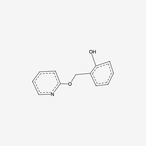 Oc1ccccc1COc1ccccn1